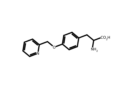 NC(Cc1ccc(OCc2ccccn2)cc1)C(=O)O